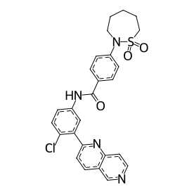 O=C(Nc1ccc(Cl)c(-c2ccc3cnccc3n2)c1)c1ccc(N2CCCCCS2(=O)=O)cc1